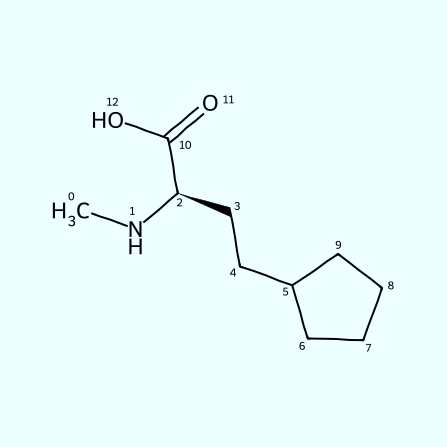 CN[C@H](CCC1CCCC1)C(=O)O